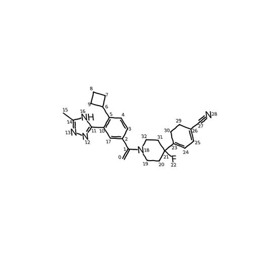 C=C(c1ccc(C2CCC2)c(-c2nnc(C)[nH]2)c1)N1CCC(F)(C2=CC=C(C#N)CC2)CC1